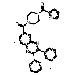 O=C(c1ccc2nc(-c3ccccc3)c(-c3ccccc3)nc2c1)N1CCN(C(=O)c2ccco2)CC1